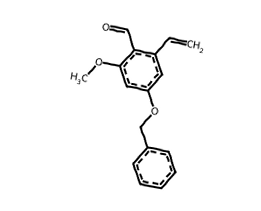 C=Cc1cc(OCc2ccccc2)cc(OC)c1C=O